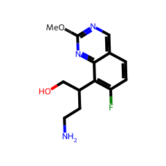 COc1ncc2ccc(F)c(C(CO)CCN)c2n1